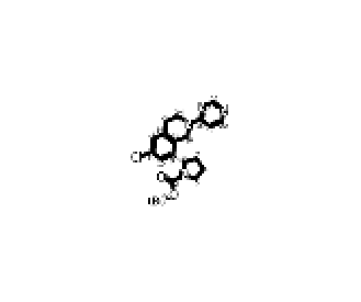 CC(C)(C)OC(=O)N1CCC[C@H]1c1cc(Cl)cc2c1CN(c1ccncn1)CC2